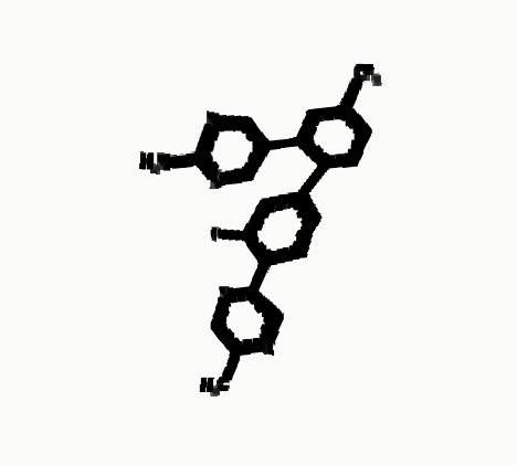 Cc1cnc(-c2ccc(-c3ccc(C(F)(F)F)cc3-c3cnc(N)nc3)cc2F)cn1